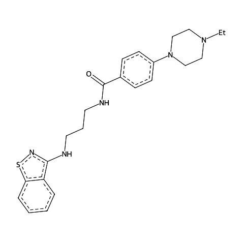 CCN1CCN(c2ccc(C(=O)NCCCNc3nsc4ccccc34)cc2)CC1